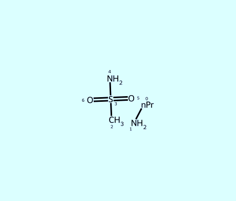 CCCN.CS(N)(=O)=O